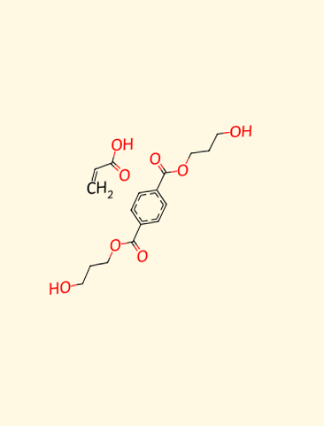 C=CC(=O)O.O=C(OCCCO)c1ccc(C(=O)OCCCO)cc1